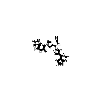 CS(=O)(=O)c1nc(N2CC[C@H]([C@H](CC#N)n3cc(-c4ncnc5[nH]ccc45)cn3)C2)c(F)cc1F